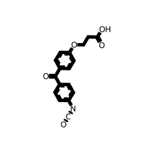 O=C=Nc1ccc(C(=O)c2ccc(OCCC(=O)O)cc2)cc1